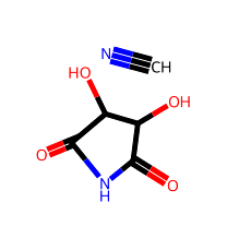 C#N.O=C1NC(=O)C(O)C1O